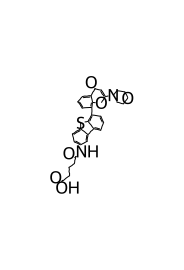 O=C(O)CCCC(=O)Nc1ccc2sc3c(-c4cccc5c(=O)cc(N6CCOCC6)oc45)cccc3c2c1